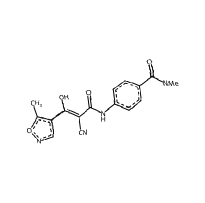 CNC(=O)c1ccc(NC(=O)/C(C#N)=C(\O)c2cnoc2C)cc1